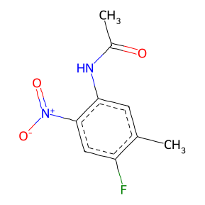 CC(=O)Nc1cc(C)c(F)cc1[N+](=O)[O-]